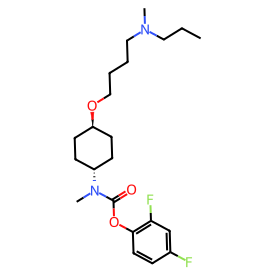 CCCN(C)CCCCO[C@H]1CC[C@H](N(C)C(=O)Oc2ccc(F)cc2F)CC1